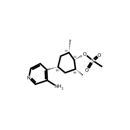 C[C@@H]1C[C@H](c2ccncc2N)C[C@H](C)[C@@H]1OS(C)(=O)=O